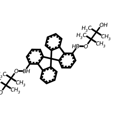 CC(C)(O)C(C)(C)OBc1cccc2c1-c1ccccc1C21c2ccccc2-c2c(BOC(C)(C)C(C)(C)O)cccc21